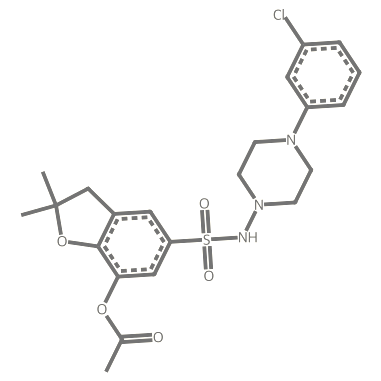 CC(=O)Oc1cc(S(=O)(=O)NN2CCN(c3cccc(Cl)c3)CC2)cc2c1OC(C)(C)C2